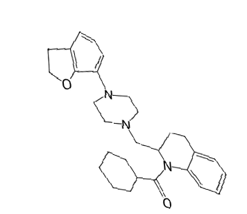 O=C(C1CCCCC1)N1c2ccccc2CCC1CN1CCN(c2cccc3c2OCC3)CC1